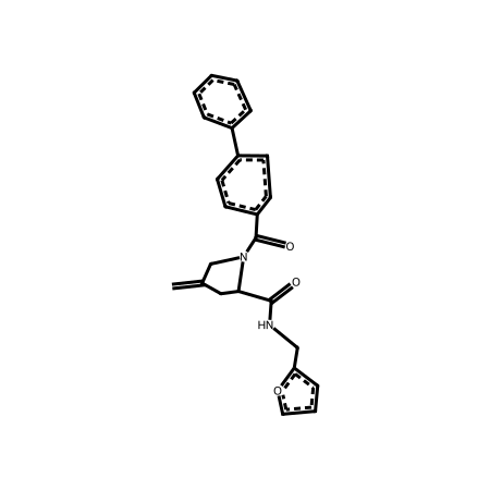 C=C1CC(C(=O)NCc2ccco2)N(C(=O)c2ccc(-c3ccccc3)cc2)C1